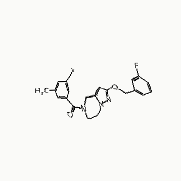 Cc1cc(F)cc(C(=O)N2CCn3nc(OCc4cccc(F)c4)cc3C2)c1